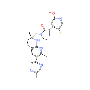 CCN(C[C@@]1(C)CCc2cc(-c3cnc(C)cn3)c(C)nc2N1)C(=O)[C@H](C)c1cc(OC)ncc1F